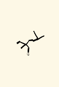 C=CC(C)(C=O)CCC(C)C